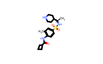 Cc1cc(S(=O)(=O)N[C@H](C)C2CCNCC2)ccc1NC(=O)C1CCC1